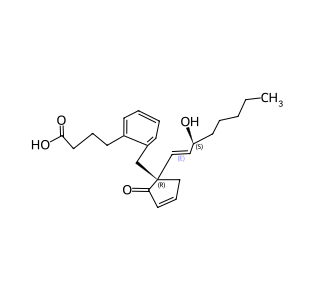 CCCCC[C@H](O)/C=C/[C@]1(Cc2ccccc2CCCC(=O)O)CC=CC1=O